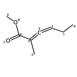 CCC=C=C(C)C(=O)OC